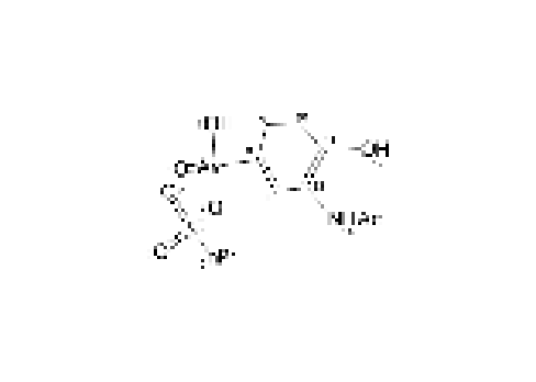 CCCS(=O)(=O)O[As](=O)(O)c1ccc(O)c(NC(C)=O)c1